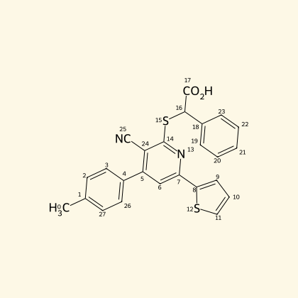 Cc1ccc(-c2cc(-c3cccs3)nc(SC(C(=O)O)c3ccccc3)c2C#N)cc1